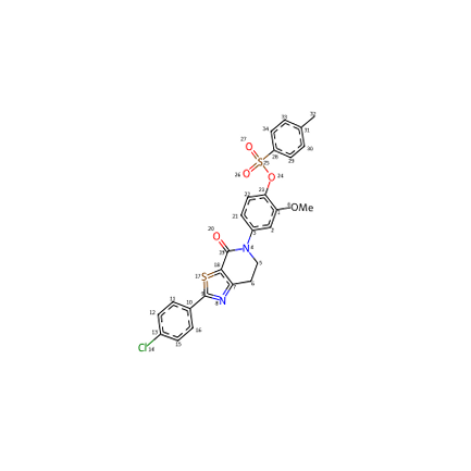 COc1cc(N2CCc3nc(-c4ccc(Cl)cc4)sc3C2=O)ccc1OS(=O)(=O)c1ccc(C)cc1